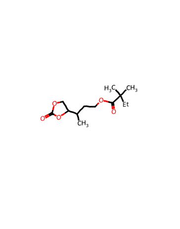 CCC(C)(C)C(=O)OCCC(C)C1COC(=O)O1